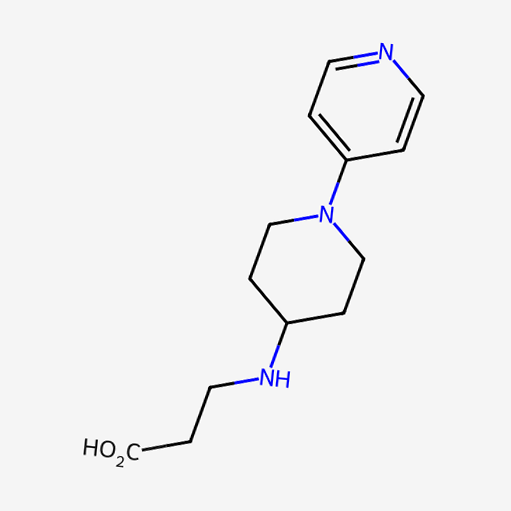 O=C(O)CCNC1CCN(c2ccncc2)CC1